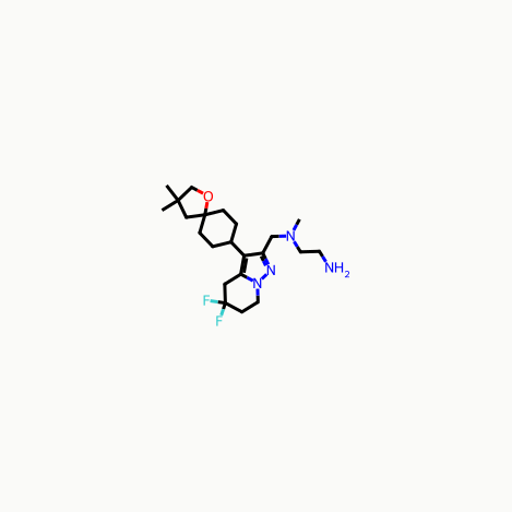 CN(CCN)Cc1nn2c(c1C1CCC3(CC1)CC(C)(C)CO3)CC(F)(F)CC2